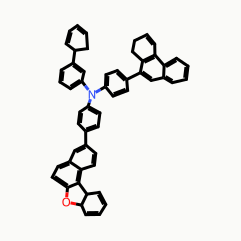 C1=CCC(c2cccc(N(c3ccc(-c4ccc5c6c(ccc5c4)OC4C=CC=CC64)cc3)c3ccc(-c4cc5ccccc5c5c4CCC=C5)cc3)c2)C=C1